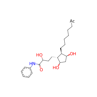 CC(=O)CCCCCC[C@@H]1[C@@H](CCC(O)C(=O)Nc2ccccc2)[C@H](O)C[C@@H]1O